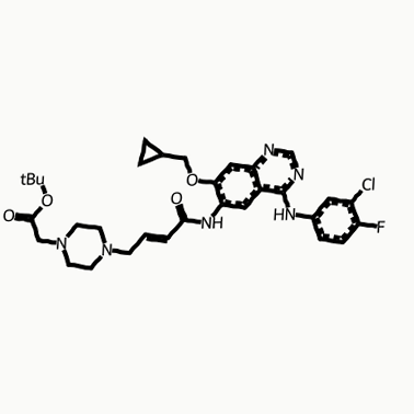 CC(C)(C)OC(=O)CN1CCN(CC=CC(=O)Nc2cc3c(Nc4ccc(F)c(Cl)c4)ncnc3cc2OCC2CC2)CC1